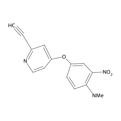 C#Cc1cc(Oc2ccc(NC)c([N+](=O)[O-])c2)ccn1